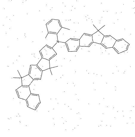 Cc1cccc(C)c1N(c1ccc2c(c1)C(C)(C)c1cc3c(cc1-2)C(C)(C)c1ccc2ccccc2c1-3)c1ccc2cc3c(cc2c1)C(C)(C)c1cc2ccccc2cc1-3